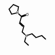 CCCCN(CC)C/C=C/C(=O)N1CCCC1